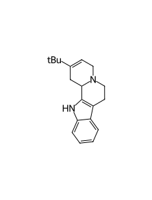 CC(C)(C)C1=CCN2CCc3c([nH]c4ccccc34)C2C1